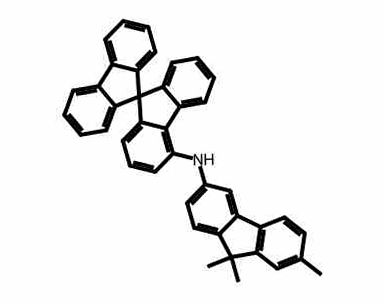 Cc1ccc2c(c1)C(C)(C)c1ccc(Nc3cccc4c3-c3ccccc3C43c4ccccc4-c4ccccc43)cc1-2